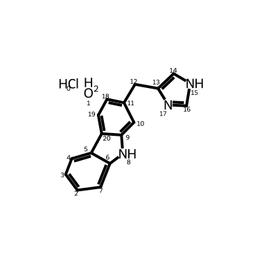 Cl.O.c1ccc2c(c1)[nH]c1cc(Cc3c[nH]cn3)ccc12